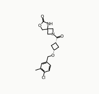 Cc1cc(CO[C@H]2C[C@@H](C(=O)N3CC4(COC(=O)N4)C3)C2)ccc1Cl